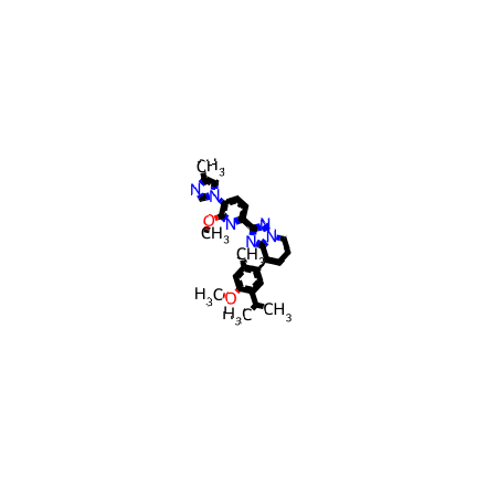 COc1cc(C)c([C@@H]2CCCn3nc(-c4ccc(-n5cnc(C)c5)c(OC)n4)nc32)cc1C(C)C